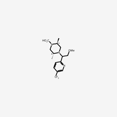 COCC(c1ccc(C(F)(F)F)cn1)N1C[C@H](C)N(C(=O)O)C[C@H]1C